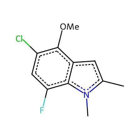 COc1c(Cl)cc(F)c2c1cc(C)n2C